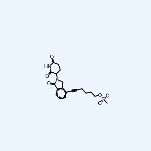 CS(=O)(=O)OCCCCC#Cc1cccc2c1CN(C1CCC(=O)NC1=O)C2=O